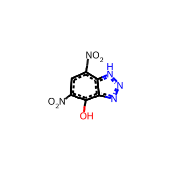 O=[N+]([O-])c1cc([N+](=O)[O-])c2[nH]nnc2c1O